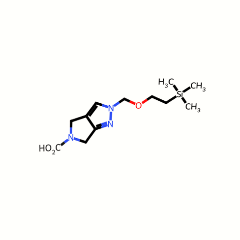 C[Si](C)(C)CCOCn1cc2c(n1)CN(C(=O)O)C2